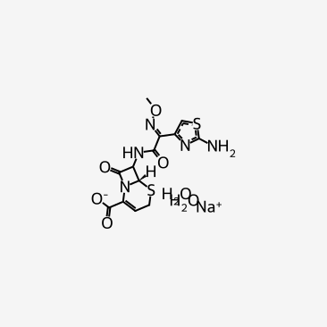 CON=C(C(=O)NC1C(=O)N2C(C(=O)[O-])=CCS[C@@H]12)c1csc(N)n1.O.O.[Na+]